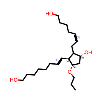 CCCO[C@H]1C[C@@H](O)C(C/C=C\CCCCO)[C@@H]1/C=C/CCCCCCO